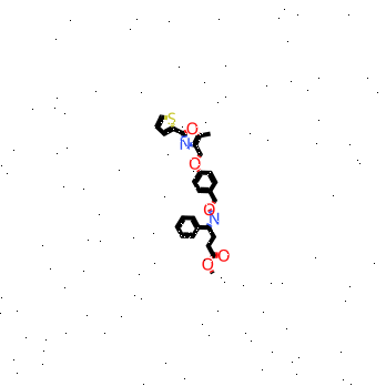 COC(=O)CCC(=NOCc1ccc(OCc2nc(-c3cccs3)oc2C)cc1)c1ccccc1